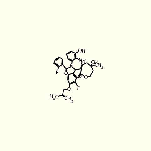 C=C(C)COc1ccc(C2C3=C(CC(C)(C)CCOC3=O)Nc3c(O)cccc3N2C(=O)c2ccccc2F)c(F)c1F